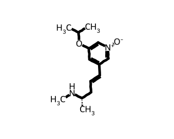 CN[C@@H](C)CC=Cc1cc(OC(C)C)c[n+]([O-])c1